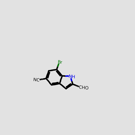 N#Cc1cc(Br)c2[nH]c(C=O)cc2c1